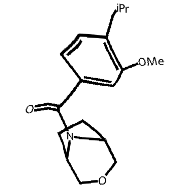 COc1cc(C(=O)N2C3CCC2COC3)ccc1C(C)C